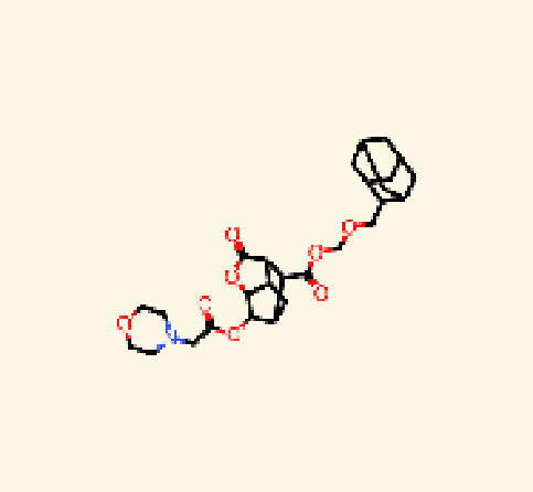 O=C(CN1CCOCC1)OC1C2CC3C1OC(=O)C3C2C(=O)OCOCC1C2CC3CC(C2)CC1C3